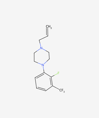 C=CCN1CCN(c2cccc(C(F)(F)F)c2F)CC1